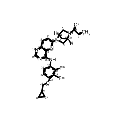 C=CC(=O)N1C[C@@H]2C[C@H]1CN2c1ccc2ncnc(Nc3ccc(OCC4CC4)c(F)c3F)c2n1